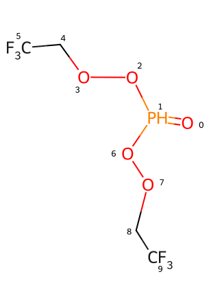 O=[PH](OOCC(F)(F)F)OOCC(F)(F)F